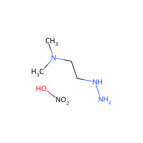 CN(C)CCNN.O=[N+]([O-])O